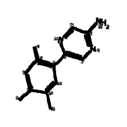 Cc1cc(C)c(-c2cnc(N)cn2)cc1C